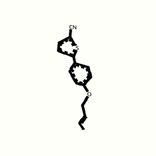 CC=CCOc1ccc(-c2ccc(C#N)s2)cc1